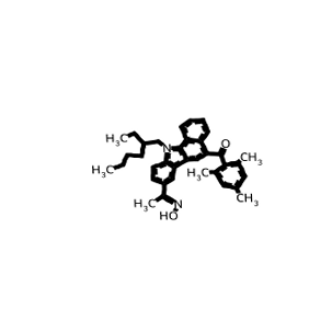 CCCCC(CC)Cn1c2ccc(C(C)=NO)cc2c2cc(C(=O)c3c(C)cc(C)cc3C)c3ccccc3c21